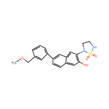 COCc1cccc(-c2ccc3cc(O)c(N4CCNS4(=O)=O)cc3c2)c1